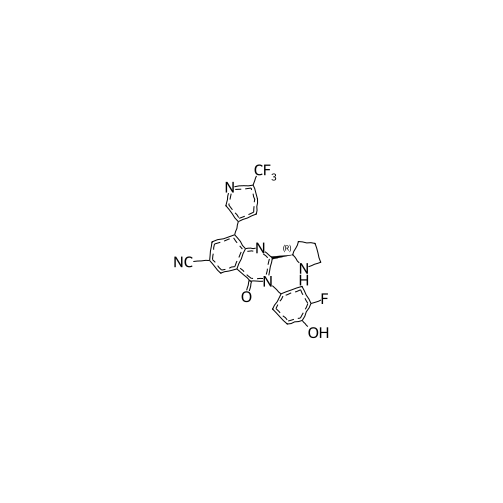 N#Cc1cc(-c2ccc(C(F)(F)F)nc2)c2nc([C@H]3CCCN3)n(-c3ccc(O)c(F)c3)c(=O)c2c1